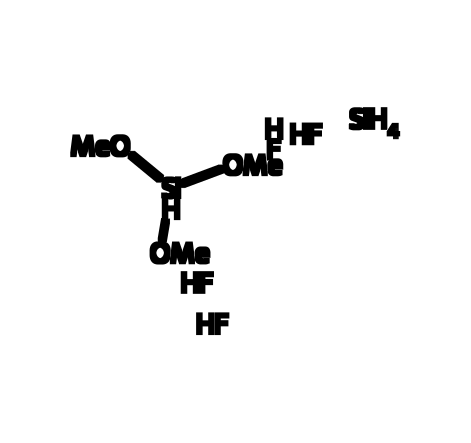 CO[SiH](OC)OC.F.F.F.F.[SiH4]